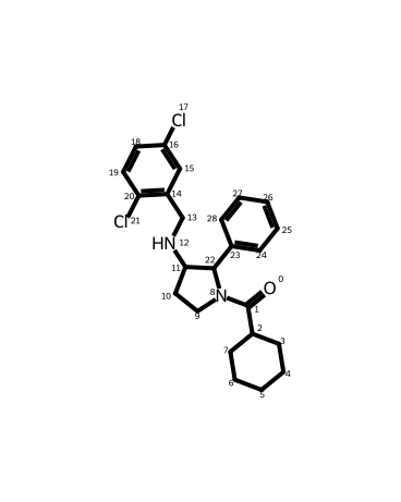 O=C(C1CCCCC1)N1CCC(NCc2cc(Cl)ccc2Cl)C1c1ccccc1